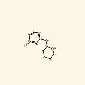 Ic1cccc(OC2CCCCO2)c1